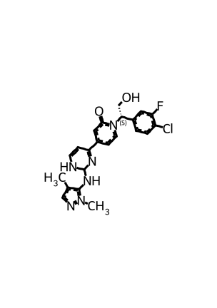 Cc1cnn(C)c1NC1N=C(c2ccn([C@H](CO)c3ccc(Cl)c(F)c3)c(=O)c2)C=CN1